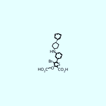 O=C(O)COc1c(C(=O)O)sc(-c2cccc(N[C@H]3CC[C@H](c4ccccc4)CC3)c2)c1Br